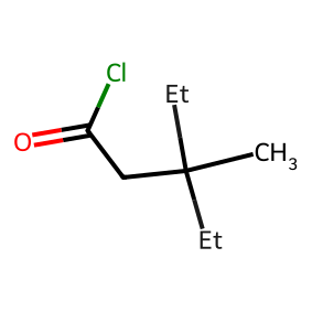 CCC(C)(CC)CC(=O)Cl